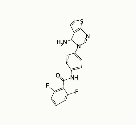 NC1c2ccsc2N=CN1c1ccc(NC(=O)c2c(F)cccc2F)cc1